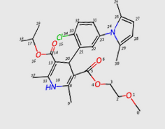 COCCOC(=O)C1=C(C)NC(C)=C(C(=O)OC(C)C)C1c1cc(-n2c(C)ccc2C)ccc1Cl